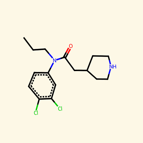 CCCN(C(=O)CC1CCNCC1)c1ccc(Cl)c(Cl)c1